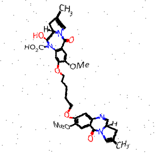 COc1cc2c(cc1OCCCCCOc1cc3c(cc1OC)C(=O)N1C=C(C)C[C@H]1[C@H](O)N3C(=O)O)N=C[C@@H]1CC(C)=CN1C2=O